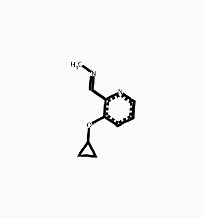 C/N=C/c1ncccc1OC1CC1